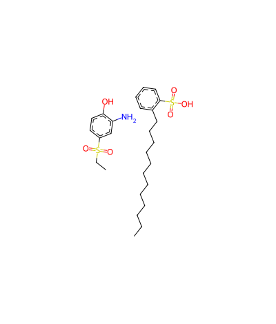 CCCCCCCCCCCCc1ccccc1S(=O)(=O)O.CCS(=O)(=O)c1ccc(O)c(N)c1